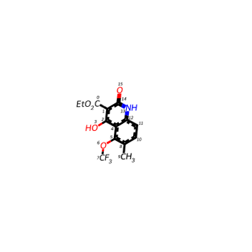 CCOC(=O)c1c(O)c2c(OC(F)(F)F)c(C)ccc2[nH]c1=O